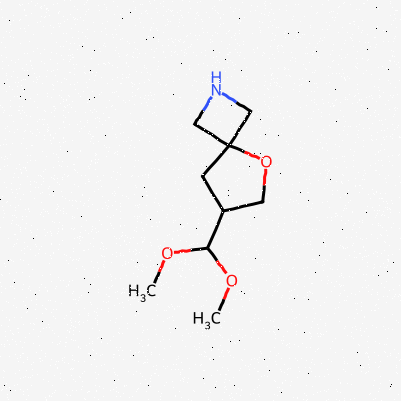 COC(OC)C1COC2(CNC2)C1